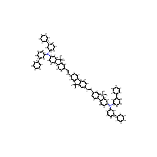 CC1(C)c2cc(/C=C/c3ccc4c(c3)C(C)(C)c3cc(N(c5cccc(-c6ccccc6)c5)c5cccc(-c6ccccc6)c5)ccc3-4)ccc2-c2ccc(/C=C/c3ccc4c(c3)C(C)(C)c3cc(N(c5cccc(-c6ccccc6)c5)c5cccc(-c6ccccc6)c5)ccc3-4)cc21